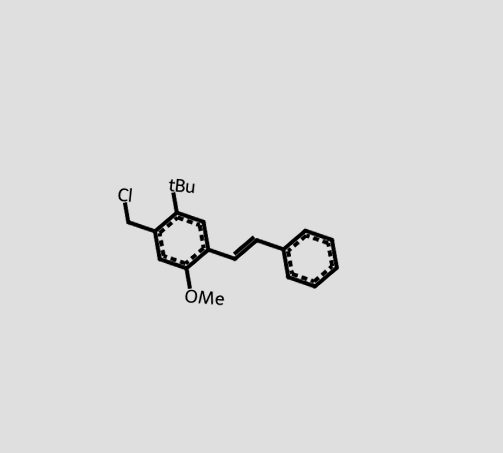 COc1cc(CCl)c(C(C)(C)C)cc1/C=C/c1ccccc1